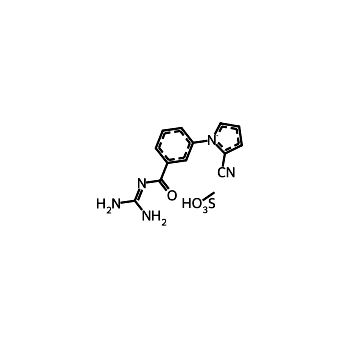 CS(=O)(=O)O.N#Cc1cccn1-c1cccc(C(=O)N=C(N)N)c1